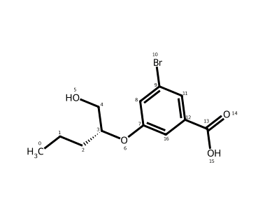 CCC[C@H](CO)Oc1cc(Br)cc(C(=O)O)c1